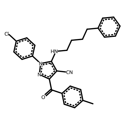 Cc1ccc(C(=O)c2nn(-c3ccc(Cl)cc3)c(NCCCCc3ccccc3)c2C#N)cc1